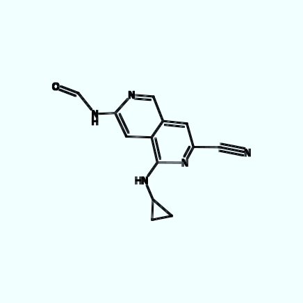 N#Cc1cc2cnc(NC=O)cc2c(NC2CC2)n1